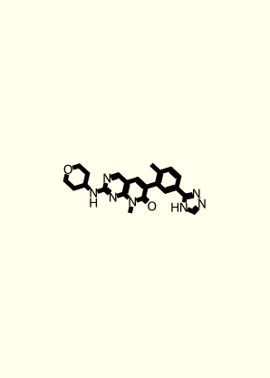 Cc1ccc(-c2nnc[nH]2)cc1-c1cc2cnc(NC3CCOCC3)nc2n(C)c1=O